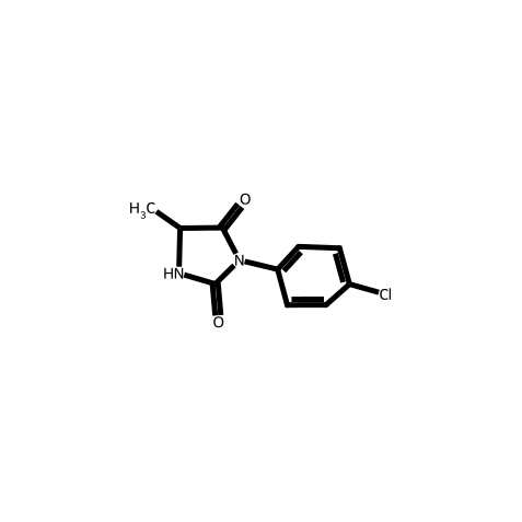 CC1NC(=O)N(c2ccc(Cl)cc2)C1=O